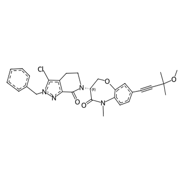 COC(C)(C)C#Cc1ccc2c(c1)OC[C@@H](N1CCc3c(nn(Cc4ccccc4)c3Cl)C1=O)C(=O)N2C